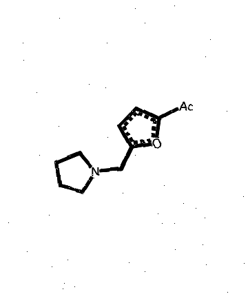 CC(=O)c1ccc(CN2CCCC2)o1